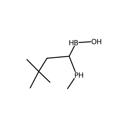 CPC(BO)CC(C)(C)C